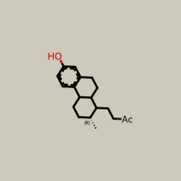 CC(=O)CCC1C2CCc3cc(O)ccc3C2CC[C@H]1C